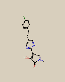 CN1CC(c2ncc(CCc3ccc(F)cc3)cn2)=C(O)C1=O